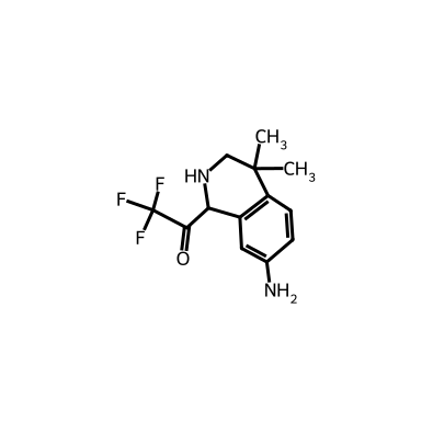 CC1(C)CNC(C(=O)C(F)(F)F)c2cc(N)ccc21